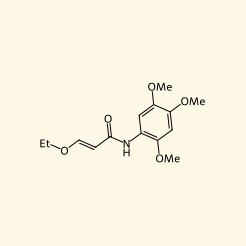 CCOC=CC(=O)Nc1cc(OC)c(OC)cc1OC